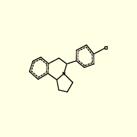 Clc1ccc(C2Cc3ccccc3C3CCCN23)cc1